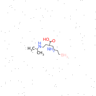 BCCCC[C@@](N)(CCNC(C)C)C(=O)O